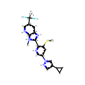 CCSc1cc(-n2cc(C3CC3)cn2)cnc1-c1nc2cc(C(F)(F)C(F)(F)F)cnc2n1C